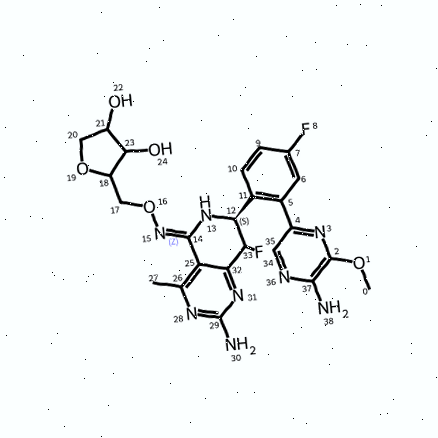 COc1nc(-c2cc(F)ccc2[C@@H]2N/C(=N\OCC3OCC(O)C3O)c3c(C)nc(N)nc3C2F)cnc1N